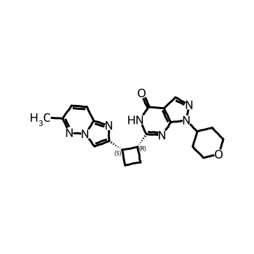 Cc1ccc2nc([C@H]3CC[C@H]3c3nc4c(cnn4C4CCOCC4)c(=O)[nH]3)cn2n1